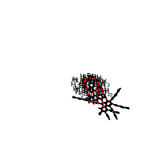 BBB(B)B(B(B)B)c1c(B(B(B)B)B(B)B)c(B(BB)B(B)B)c(B(B)B(B)B)c2c(B(B)BB)c(-c3c4c(C)c(C)c(C)c(C)c4c(C)c4c(-c5c(C#CC#CC#CC#CC#C)c6c(C)c(C#C)c(C#CC)c(C#CC#C)c6c6c(C#CC#CC)c(C#CC#CC#C)c(C#CC#CC#CC)c(C#CC#CC#CC#C)c56)c(C)c(C)c(C)c34)c(BB)c(B)c12